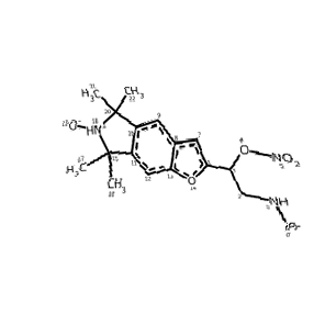 CC(C)NCC(O[N+](=O)[O-])c1cc2cc3c(cc2o1)C(C)(C)[NH+]([O-])C3(C)C